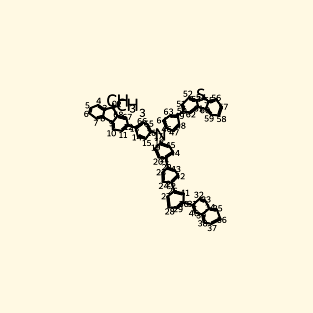 CC1(C)c2ccccc2-c2ccc(-c3ccc(N(c4ccc(-c5ccc(-c6cccc(-c7ccc8ccccc8c7)c6)cc5)cc4)c4ccc(-c5ccc6sc7ccccc7c6c5)cc4)cc3)cc21